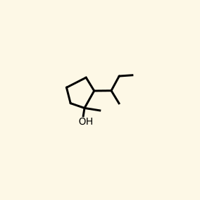 CCC(C)C1CCCC1(C)O